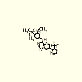 C=Cc1cc(Nc2ncnc3cc(-c4ncccc4C(F)(F)F)cnc23)ccc1C(C)(C)C